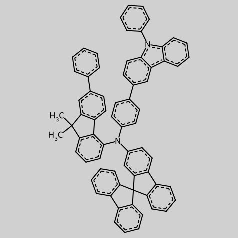 CC1(C)c2cc(-c3ccccc3)ccc2-c2c(N(c3ccc(-c4ccc5c(c4)c4ccccc4n5-c4ccccc4)cc3)c3ccc4c(c3)C3(c5ccccc5-c5ccccc53)c3ccccc3-4)cccc21